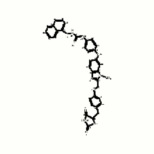 Cn1c(COc2ccc(CC3SC(=O)NC3=O)cc2)nc2ccc(Oc3ccc(NC(=O)NSc4cccc5ccccc45)cc3)cc21